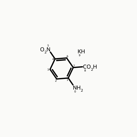 Nc1ccc([N+](=O)[O-])cc1C(=O)O.[KH]